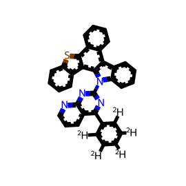 [2H]c1c([2H])c([2H])c(-c2nc(-n3c4ccccc4c4c5ccccc5c5sc6ccccc6c5c43)nc3ncccc23)c([2H])c1[2H]